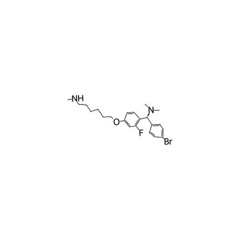 CNCCCCCCOc1ccc([C@H](c2ccc(Br)cc2)N(C)C)c(F)c1